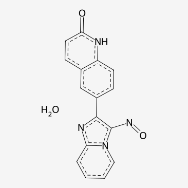 O.O=Nc1c(-c2ccc3[nH]c(=O)ccc3c2)nc2ccccn12